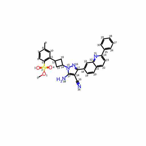 COS(=O)(=O)c1ccc(C)cc1C1CC(n2nc(-c3ccc4ccc(-c5ccccc5)nc4c3)c(C#N)c2N)C1